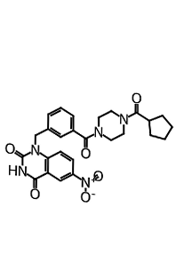 O=C(c1cccc(Cn2c(=O)[nH]c(=O)c3cc([N+](=O)[O-])ccc32)c1)N1CCN(C(=O)C2CCCC2)CC1